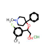 CN1CCC(OC(CO)c2cc(F)cc(C(F)(F)F)c2)(c2ccccc2)CC1.Cl